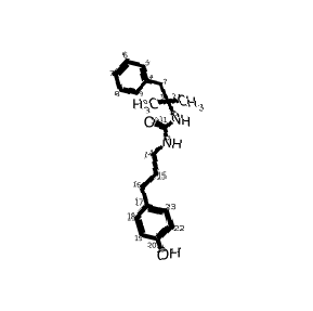 CC(C)(Cc1ccccc1)NC(=O)NCCCc1ccc(O)cc1